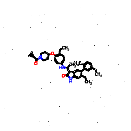 CCC1=C(OC2CCN(C(=O)C3CC3)CC2)C=CC(N/C(C)=C2\C(=O)NC3=CC(CC)C(c4cc(CC)ccc4C)C=C32)=CC1